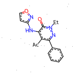 CCn1nc(-c2ccccc2)c(C(C)=O)c(Nc2ccon2)c1=O